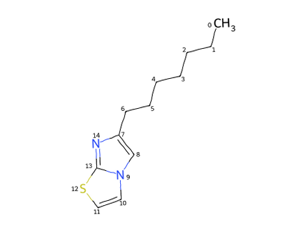 CCCCCCCc1cn2ccsc2n1